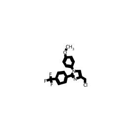 COc1ccc(-n2cc(CCl)nc2-c2ccc(C(F)(F)F)cc2)cc1